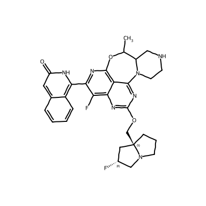 CC1Oc2nc(-c3[nH]c(=O)cc4ccccc34)c(F)c3nc(OC[C@@]45CCCN4C[C@H](F)C5)nc(c23)N2CCNCC12